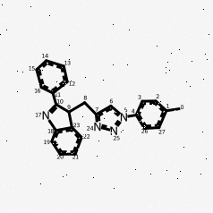 Cc1ccc(-n2cc(CC3C(c4ccccc4)=Nc4ccccc43)nn2)cc1